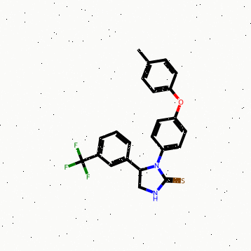 Cc1ccc(Oc2ccc(N3C(=S)NCC3c3cccc(C(F)(F)F)c3)cc2)cc1